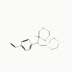 C=Cc1ccc(C(CN2CCNCC2)C2(O)CCCCC2)cc1.Cl.Cl